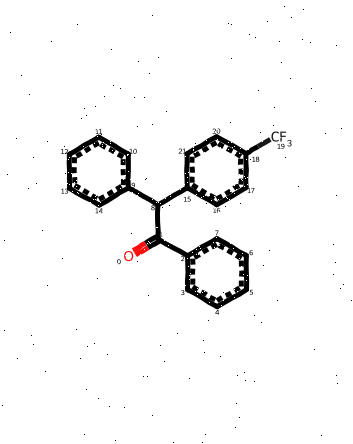 O=C(c1ccccc1)C(c1ccccc1)c1ccc(C(F)(F)F)cc1